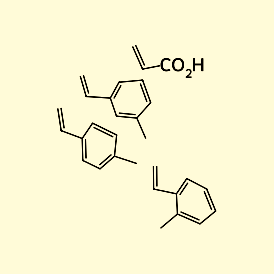 C=CC(=O)O.C=Cc1ccc(C)cc1.C=Cc1cccc(C)c1.C=Cc1ccccc1C